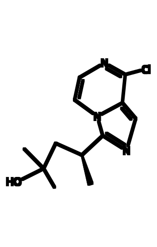 C[C@@H](CC(C)(C)O)c1ncc2c(Cl)nccn12